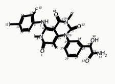 Cc1c(=O)n(C)c(Nc2ccc(I)cc2F)c2c(=O)n(C)c(=O)n(-c3cccc(C(O)C(N)=O)c3)c12